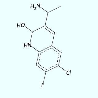 CC(N)C1=Cc2cc(Cl)c(F)cc2NC1O